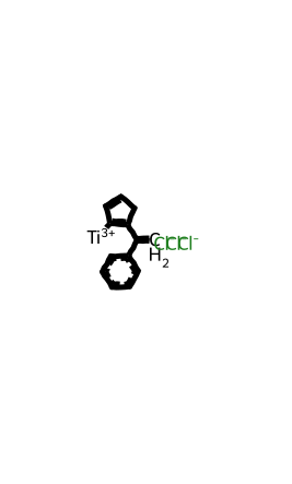 C=C(C1=[C]([Ti+3])C=CC1)c1ccccc1.[Cl-].[Cl-].[Cl-]